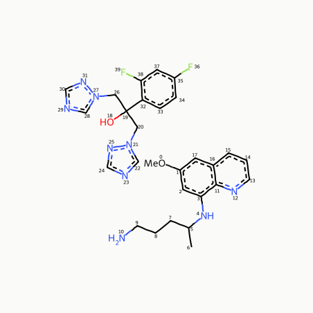 COc1cc(NC(C)CCCN)c2ncccc2c1.OC(Cn1cncn1)(Cn1cncn1)c1ccc(F)cc1F